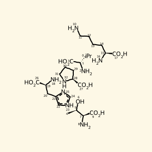 CC(C)[C@H](N)C(=O)O.C[C@@H](O)[C@H](N)C(=O)O.NCCCC[C@H](N)C(=O)O.N[C@@H](Cc1c[nH]cn1)C(=O)O.O=C(O)[C@@H]1CCCN1